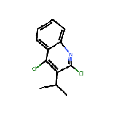 CC(C)c1c(Cl)nc2ccccc2c1Cl